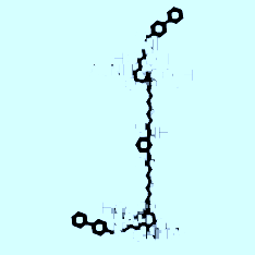 CC(=O)N[C@H]1[C@H]([C@H](O)[C@H](O)CNC(=O)c2ccc(-c3ccccc3)cc2)O[C@@](OCCCSCCC(=O)Nc2cccc(NC(=O)CCSCCCO[C@]3(C(=O)O)C[C@H](O)[C@@H](NC(C)=O)[C@H]([C@H](O)[C@H](O)CNC(=O)c4ccc(-c5ccccc5)cc4)O3)c2)(C(=O)O)C[C@@H]1O